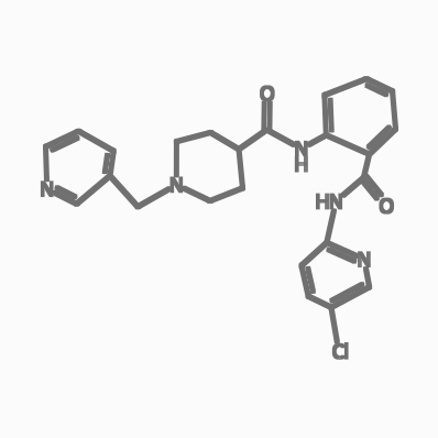 O=C(Nc1ccc(Cl)cn1)c1ccccc1NC(=O)C1CCN(Cc2cccnc2)CC1